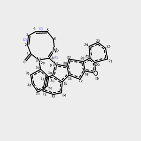 C=C1/C=C\C=C/C/N=C(/n2c3ccccc3c3cc4oc5ccccc5c4cc32)N1c1ccccc1